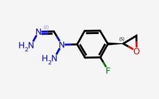 N/N=C\N(N)c1ccc([C@H]2CO2)c(F)c1